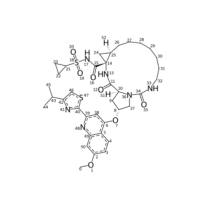 COc1ccc2c(O[C@@H]3C[C@H]4C(=O)N[C@]5(C(=O)NS(=O)(=O)C6CC6)C[C@H]5CCCCCCCNC(=O)N4C3)cc(-c3nc(C(C)C)cs3)nc2c1